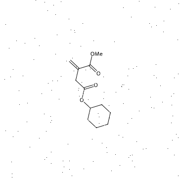 C=C(CC(=O)OC1CCCCC1)C(=O)OC